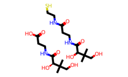 CC(C)(CO)C(O)C(=O)NCCC(=O)NCCS.CC(C)(CO)[C@@H](O)C(=O)NCCC(=O)O